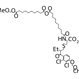 CCC(CSC[C@H](NC(=O)CCCCCCCCC(=O)OC(=O)CCCCCCCCC(=O)OCOC)C(=O)O)C(=O)c1ccc(OCOC=O)c(Cl)c1Cl